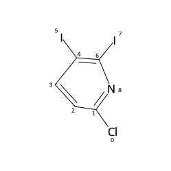 Clc1ccc(I)c(I)n1